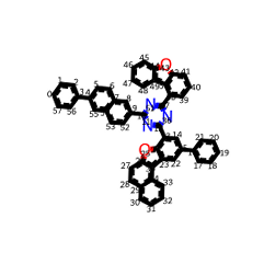 c1ccc(-c2ccc3cc(-c4nc(-c5cc(-c6ccccc6)cc6c5oc5ccc7ccccc7c56)nc(-c5cccc6oc7ccccc7c56)n4)ccc3c2)cc1